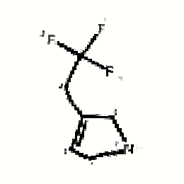 FC(F)(F)CC1=CCNC1